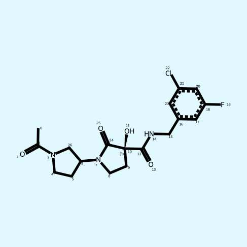 CC(=O)N1CCC(N2CC[C@@](O)(C(=O)NCc3cc(F)cc(Cl)c3)C2=O)C1